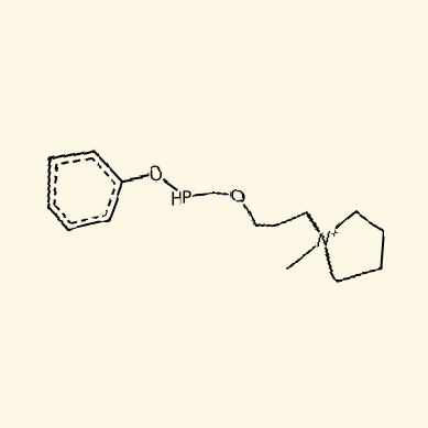 C[N+]1(CCOPOc2ccccc2)CCCC1